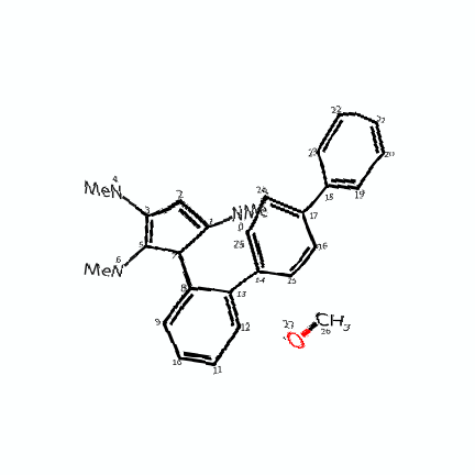 CNC1=CC(NC)=C(NC)C1c1ccccc1-c1ccc(-c2ccccc2)cc1.C[O]